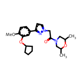 COc1ccc(-c2ccn(CC(=O)N3CC(C)OC(C)C3)n2)cc1OC1CCCC1